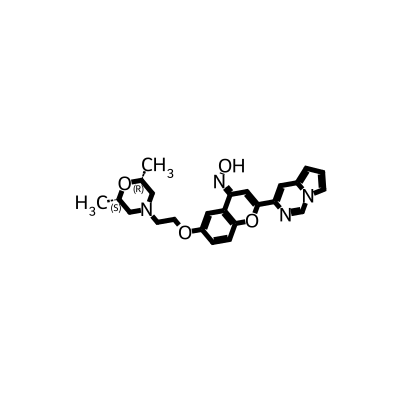 C[C@@H]1CN(CCOc2ccc3oc(-c4cc5cccn5cn4)cc(=NO)c3c2)C[C@H](C)O1